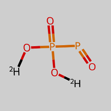 [2H]OP(=O)(O[2H])P=O